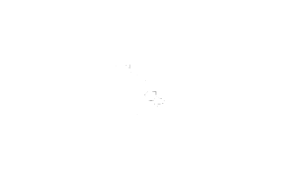 CCCNC(=O)[C@H]1CCCN(S(=O)(=O)c2ccc3c(c2)nc(C(C)(C)C)n3CC2CCC(F)(F)CC2)C1